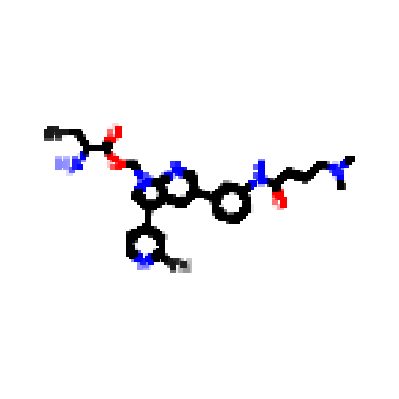 CC(C)CC(N)C(=O)OCn1cc(-c2ccnc(C#N)c2)c2cc(-c3cccc(NC(=O)/C=C/CN(C)C)c3)cnc21